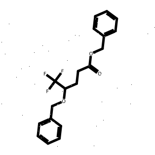 O=C(CCC(OCc1ccccc1)C(F)(F)F)OCc1ccccc1